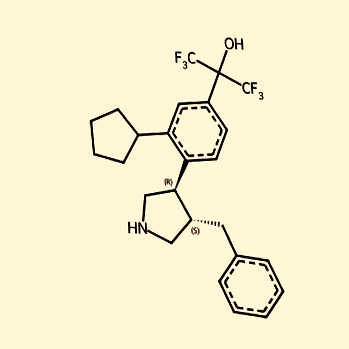 OC(c1ccc([C@@H]2CNC[C@H]2Cc2ccccc2)c(C2CCCC2)c1)(C(F)(F)F)C(F)(F)F